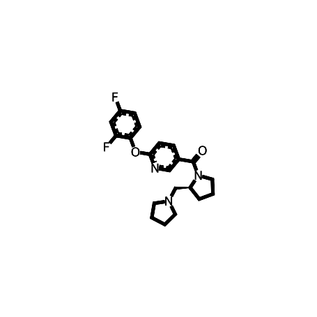 O=C(c1ccc(Oc2ccc(F)cc2F)nc1)N1CCC[C@H]1CN1CCCC1